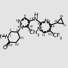 CCN1CC(n2ncc(Nc3ncc(C(F)(F)F)c(C4CC4)n3)c2C)CCC1=O